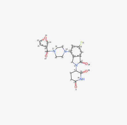 O=C1CCC(N2Cc3c(cc(F)cc3N3CCN(C(=O)c4ccoc4)CC3)C2=O)C(=O)N1